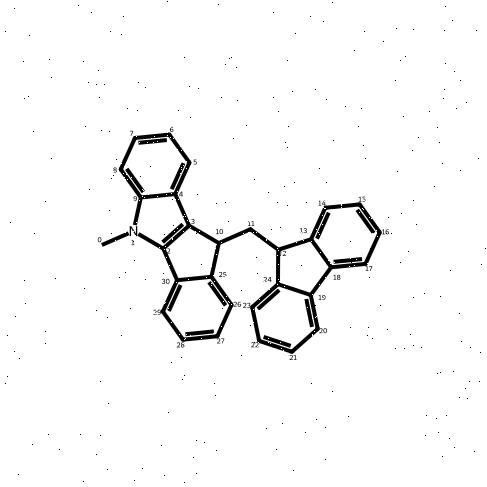 Cn1c2c(c3ccccc31)C(CC1c3ccccc3-c3ccccc31)c1ccccc1-2